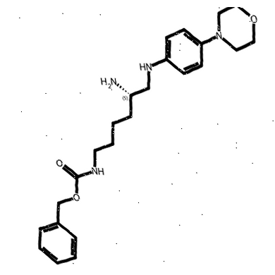 N[C@@H](CCCCNC(=O)OCc1ccccc1)CNc1ccc(N2CCOCC2)cc1